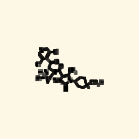 CC(C)[C@]1(N)C[C@]1(N)N(CC(=O)c1c(Cl)cncc1Cl)C(=O)C1=C(C(F)(F)F)N(C2CCC(C)(C(=O)O)CC2)NC1